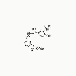 COC(=O)Cc1cccc(CC(C)(C)NC[C@H](O)c2ccc(O)c(NC=O)c2)c1